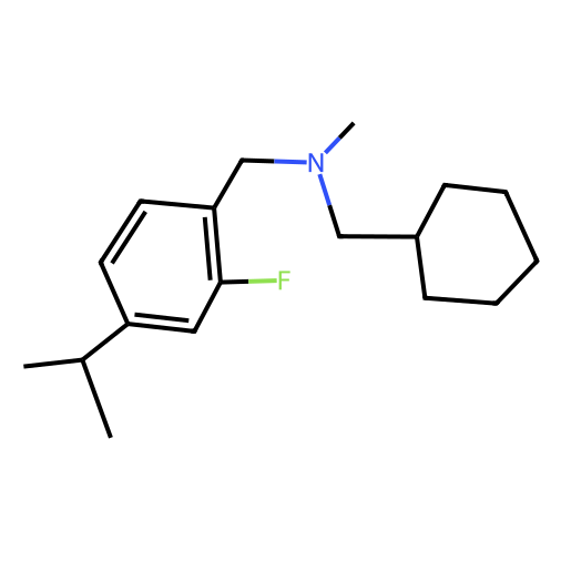 CC(C)c1ccc(CN(C)CC2CCCCC2)c(F)c1